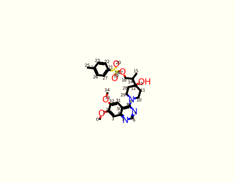 COc1cc2ncnc(N3CCC(O)(C(C)COS(=O)(=O)c4ccc(C)cc4)CC3)c2cc1OC